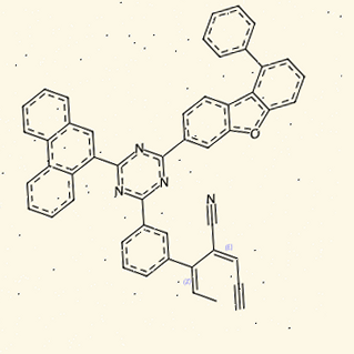 C#C/C=C(C#N)\C(=C/C)c1cccc(-c2nc(-c3ccc4c(c3)oc3cccc(-c5ccccc5)c34)nc(-c3cc4ccccc4c4ccccc34)n2)c1